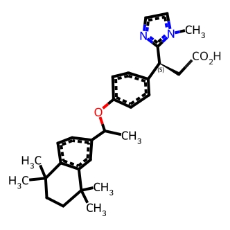 CC(Oc1ccc([C@H](CC(=O)O)c2nccn2C)cc1)c1ccc2c(c1)C(C)(C)CCC2(C)C